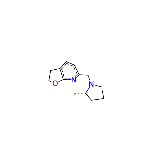 C[C@H]1CCCN1Cc1ccc2c(n1)OCC2